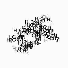 CCCC(C)OC(=O)CCC(=O)N1CCN(C(=O)OC(C)(C)C)CC1C(=O)N[C@H](C(=O)N[C@@H](CCNC(=O)OC(C)(C)C)C(=O)N[C@H]1CCNC(=O)[C@H](C(C)O)NC(=O)[C@H](CCNC(=O)OC(C)(C)C)NC(=O)[C@H](CCNC(=O)OC(C)(C)C)NC(=O)[C@H](CC(C)C)NC(=O)[C@@H](Cc2ccccc2)NC(=O)[C@H](CCNC(=O)OC(C)(C)C)NC1=O)C(C)O